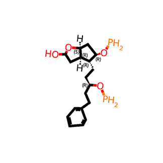 OC1C[C@@H]2[C@@H](CC[C@H](CCc3ccccc3)OP)[C@H](OP)C[C@@H]2O1